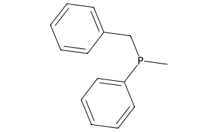 CP(Cc1ccccc1)c1ccccc1